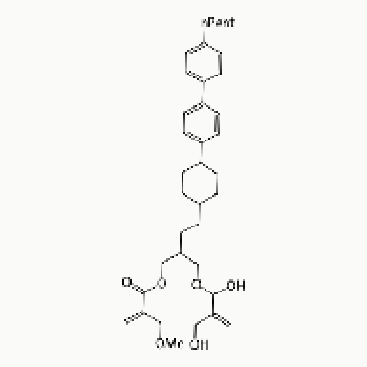 C=C(COC)C(=O)OCC(CCC1CCC(c2ccc(-c3ccc(CCCCC)cc3)cc2)CC1)COC(O)C(=C)CO